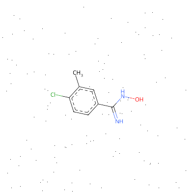 Cc1cc(C(=N)NO)ccc1Cl